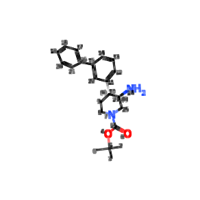 CC(C)(C)OC(=O)N1CC[C@H](c2cccc(-c3ccccc3)c2)[C@@H](N)C1